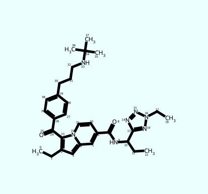 CCc1cc2cc(C(=O)NC(CC)c3nnn(CC)n3)ccn2c1C(=O)c1ccc(CCCNC(C)(C)C)cc1